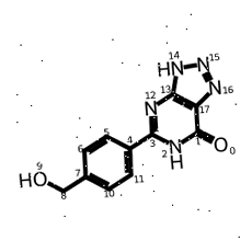 O=c1[nH]c(-c2ccc(CO)cc2)nc2[nH]nnc12